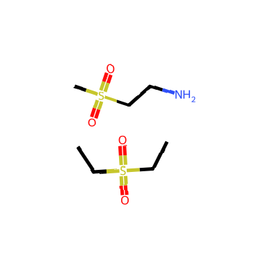 CCS(=O)(=O)CC.CS(=O)(=O)CCN